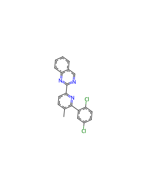 Cc1ccc(-c2ncc3ccccc3n2)nc1-c1cc(Cl)ccc1Cl